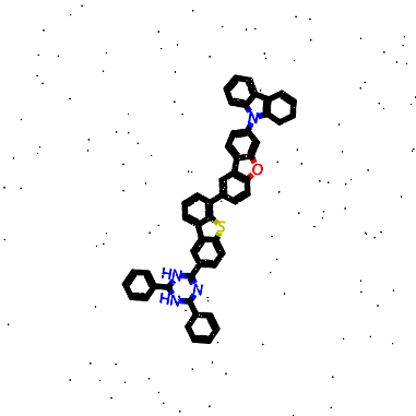 C1=CCC(C2N=C(c3ccc4sc5c(-c6ccc7oc8cc(-n9c%10c(c%11ccccc%119)C=CCC%10)ccc8c7c6)cccc5c4c3)NC(c3ccccc3)N2)C=C1